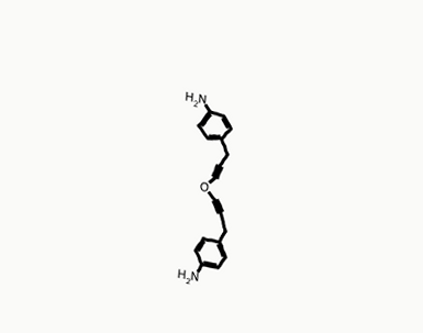 Nc1ccc(CC#COC#CCc2ccc(N)cc2)cc1